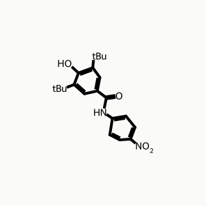 CC(C)(C)c1cc(C(=O)Nc2ccc([N+](=O)[O-])cc2)cc(C(C)(C)C)c1O